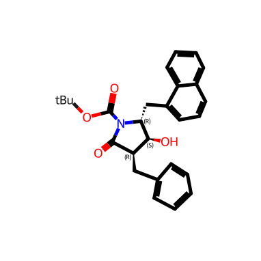 CC(C)(C)OC(=O)N1C(=O)[C@H](Cc2ccccc2)[C@H](O)[C@H]1Cc1cccc2ccccc12